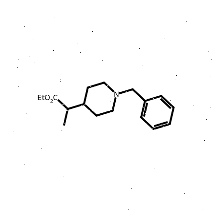 CCOC(=O)C(C)C1CCN(Cc2ccccc2)CC1